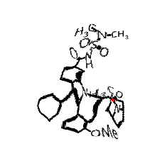 COc1cccc2c1C=C(C(=O)N1C3CCC1CN(C)C3)Cn1c-2c(C2CCCCC2)c2ccc(C(=O)NS(=O)(=O)N(C)C)cc21